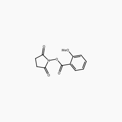 COc1ccccc1C(=O)ON1C(=O)CCC1=O